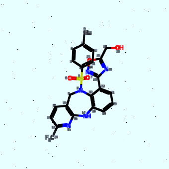 CC(C)(C)c1ccc(S(=O)(=O)N2Cc3ccc(C(F)(F)F)nc3Nc3cccc(-c4noc(CO)n4)c32)cc1